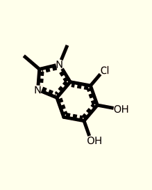 Cc1nc2cc(O)c(O)c(Cl)c2n1C